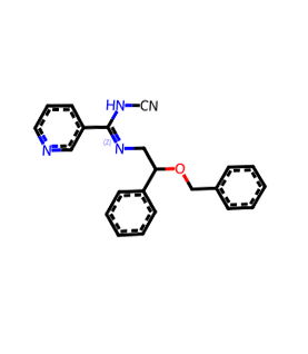 N#CN/C(=N\CC(OCc1ccccc1)c1ccccc1)c1cccnc1